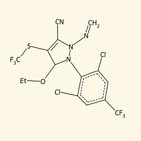 C=NN1C(C#N)=C(SC(F)(F)F)C(OCC)N1c1c(Cl)cc(C(F)(F)F)cc1Cl